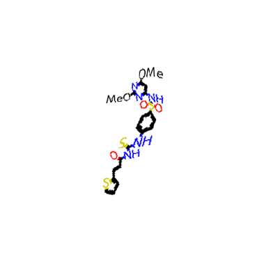 COc1cc(NS(=O)(=O)c2ccc(NC(=S)NC(=O)/C=C/c3cccs3)cc2)nc(OC)n1